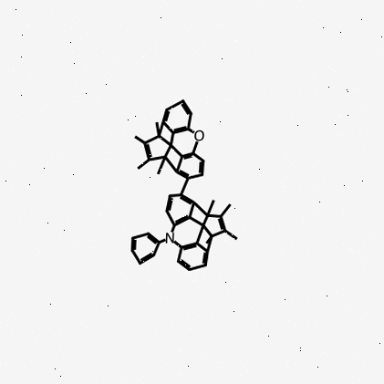 CC1=C(C)C2(C)c3c(-c4ccc5c6c4C4(C)C(C)=C(C)C7(C)c8cccc(c8C674)N5c4ccccc4)ccc4c3C23c2c(cccc2C13C)O4